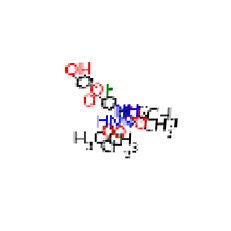 CC(C)(C)OC(=O)/N=C(/NC(=O)OC(C)(C)C)Nc1ccc(C(=O)Oc2ccc(CO)cc2)c(F)c1